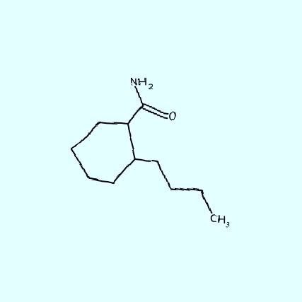 CCCCC1CCCCC1C(N)=O